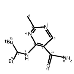 CCC(Nc1nc(C)ncc1C(N)=O)C(C)(C)C